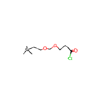 C[Si](C)(C)CCOCOCCC(=O)Cl